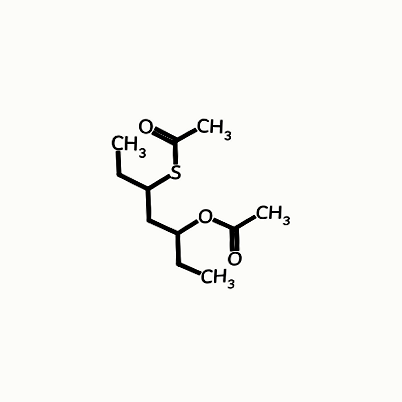 CCC(CC(CC)SC(C)=O)OC(C)=O